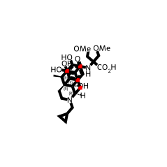 COCC(COC)(NC(=O)C1=C(O)[C@H](C)[C@]23CCN(CC4CC4)[C@H](Cc4ccc(O)c(O)c42)[C@]3(O)C1)C(=O)O